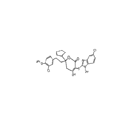 CC(C)Oc1ccc(CCC2(C3CCCC3)CC(O)=C(Sc3nc4cc(Cl)ccc4n3C(C)C)C(=O)O2)cc1Cl